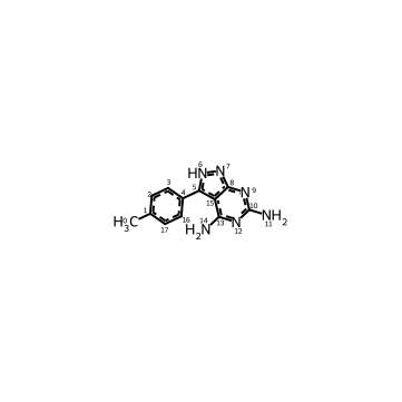 Cc1ccc(-c2[nH]nc3nc(N)nc(N)c23)cc1